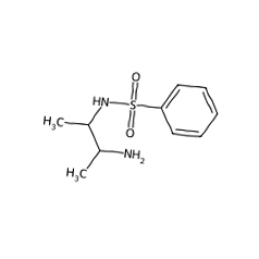 CC(N)C(C)NS(=O)(=O)c1ccccc1